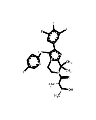 C[C@@H](O)[C@H](N)C(=O)N1CCn2c(nc(-c3cc(F)c(F)c(F)c3)c2Nc2ccc(F)cn2)C1(C)C